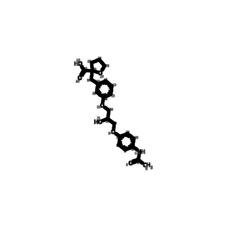 CC(=O)Nc1ccc(OCC(O)COc2cccc(CC3(C(=O)O)CCCO3)c2)cc1